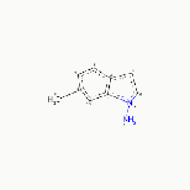 Cc1ccc2ccn(N)c2c1